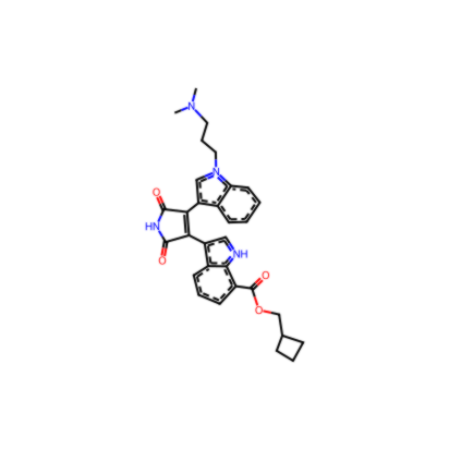 CN(C)CCCn1cc(C2=C(c3c[nH]c4c(C(=O)OCC5CCC5)cccc34)C(=O)NC2=O)c2ccccc21